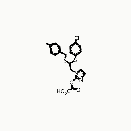 Cc1ccc(CSC(Cn2ccnc2OC(=O)C(=O)O)Sc2ccc(Cl)cc2)cc1